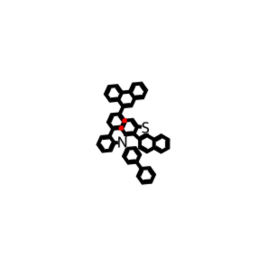 c1ccc(-c2ccc(N(c3ccccc3-c3ccc(-c4cc5ccccc5c5ccccc45)cc3)c3cccc4sc5c6ccccc6ccc5c34)cc2)cc1